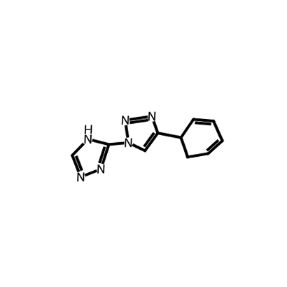 C1=CCC(c2cn(-c3nnc[nH]3)nn2)C=C1